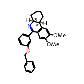 COc1cc2c(cc1OC)[C@H]1CCCC[C@H]1N=C2c1cccc(OCc2ccccc2)c1